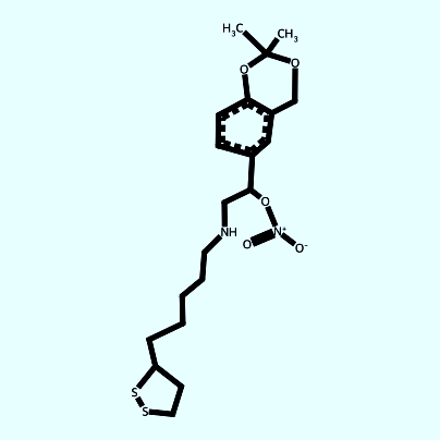 CC1(C)OCc2cc(C(CNCCCCCC3CCSS3)O[N+](=O)[O-])ccc2O1